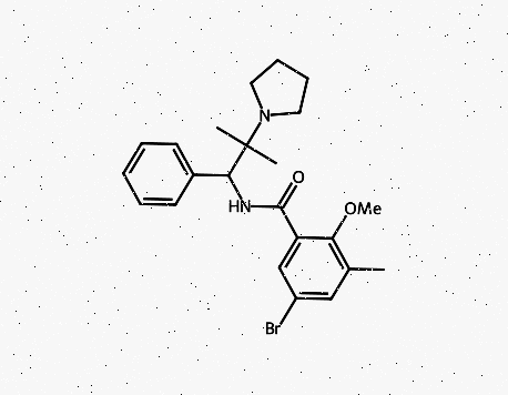 COc1c(C)cc(Br)cc1C(=O)NC(c1ccccc1)C(C)(C)N1CCCC1